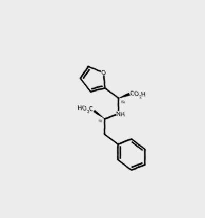 O=C(O)[C@H](Cc1ccccc1)N[C@H](C(=O)O)c1ccco1